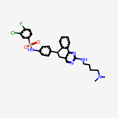 CN(C)CCCCNc1ncc2c(n1)-c1ccccc1C(c1ccc(NS(=O)(=O)c3ccc(F)c(Cl)c3)cc1)C2